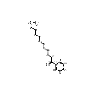 [CH2]CCCCCCCCCCC(=O)c1ccccc1